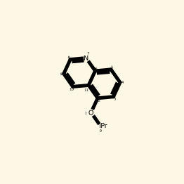 CC(C)Oc1cccc2ncccc12